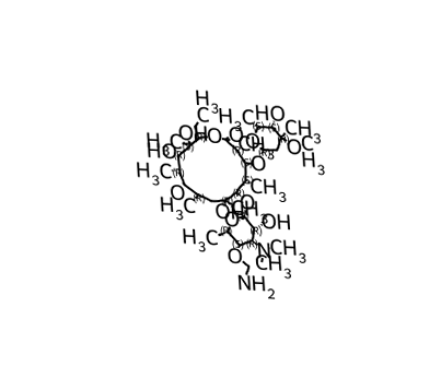 CC[C@H]1OC(=O)[C@H](C)[C@@H](O[C@H]2C[C@@](C)(OC)[C@@H](O)[C@H](C)O2)[C@H](C)[C@@H](O[C@@H]2O[C@H](C)[C@@H](OCN)[C@H](N(C)C)[C@H]2O)[C@](C)(O)C[C@@H](C)C(=O)[C@H](C)[C@@H](O)[C@]1(C)O